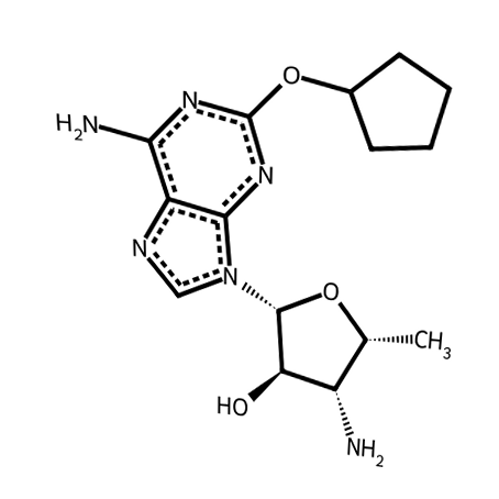 C[C@H]1O[C@@H](n2cnc3c(N)nc(OC4CCCC4)nc32)[C@H](O)[C@H]1N